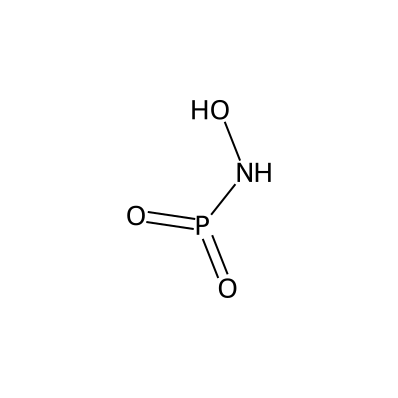 O=P(=O)NO